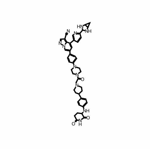 N#Cc1cnn2cc(-c3ccc(N4CCN(C(=O)CN5CCC(c6ccc(NC7CCC(=O)NC7=O)cc6)CC5)CC4)cc3)cc(-c3ccc(C4NC5CC5N4)nc3)c12